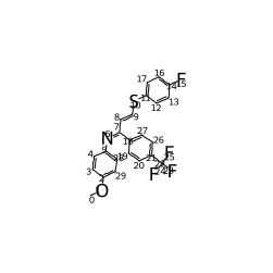 COc1ccc(N=C(C=CSc2ccc(F)cc2)c2ccc(C(F)(F)F)cc2)cc1